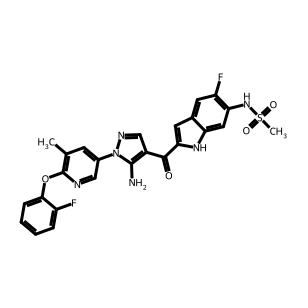 Cc1cc(-n2ncc(C(=O)c3cc4cc(F)c(NS(C)(=O)=O)cc4[nH]3)c2N)cnc1Oc1ccccc1F